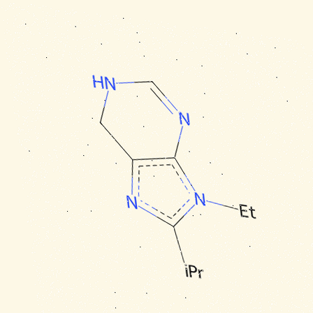 CCn1c(C(C)C)nc2c1N=CNC2